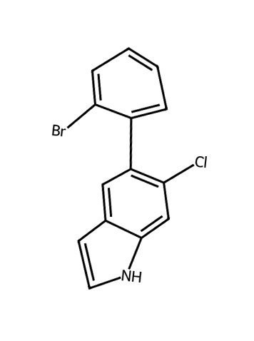 Clc1cc2[nH]ccc2cc1-c1ccccc1Br